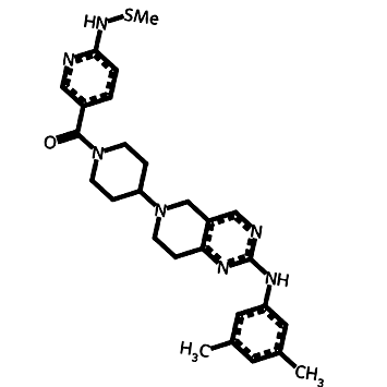 CSNc1ccc(C(=O)N2CCC(N3CCc4nc(Nc5cc(C)cc(C)c5)ncc4C3)CC2)cn1